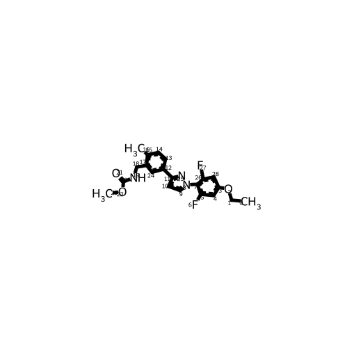 CCOc1cc(F)c(-n2ccc(-c3ccc(C)c(CNC(=O)OC)c3)n2)c(F)c1